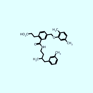 Cc1cccc(CC(C)CCNC(=O)c2cc(COc3cc(C)ccc3C)ccc2CCC(=O)O)c1